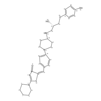 O=C1N=C(N2CCCCC2)S/C1=C/c1ccc(N2CCC(NC[C@H](O)COc3ccc(O)cc3)CC2)cc1